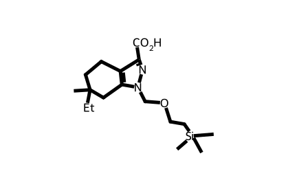 CCC1(C)CCc2c(C(=O)O)nn(COCC[Si](C)(C)C)c2C1